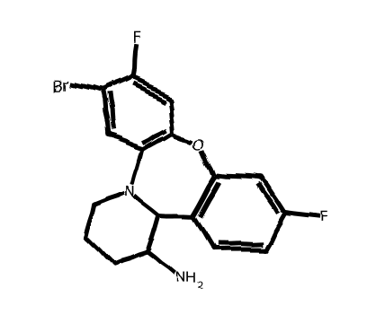 NC1CCCN2c3cc(Br)c(F)cc3Oc3cc(F)ccc3C12